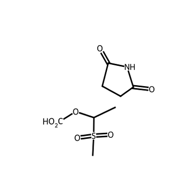 CC(OC(=O)O)S(C)(=O)=O.O=C1CCC(=O)N1